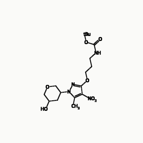 Cc1c([N+](=O)[O-])c(OCCCNC(=O)OC(C)(C)C)nn1C1COCC(O)C1